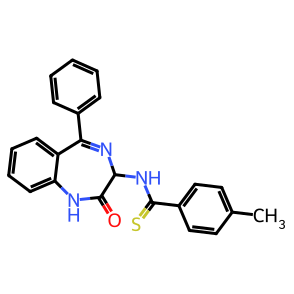 Cc1ccc(C(=S)NC2N=C(c3ccccc3)c3ccccc3NC2=O)cc1